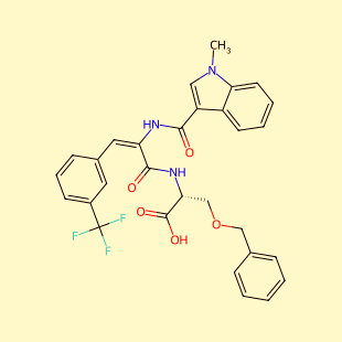 Cn1cc(C(=O)NC(=Cc2cccc(C(F)(F)F)c2)C(=O)N[C@H](COCc2ccccc2)C(=O)O)c2ccccc21